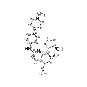 C#Cc1cc(=O)n(C2CCCC2O)c2nc(Nc3ccc(N4CCN(C)CC4)cc3)ncc12